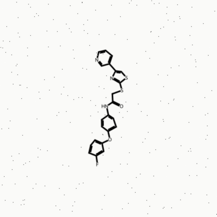 O=C(CSc1nc(-c2cccnc2)cs1)Nc1ccc(Oc2cccc(F)c2)cc1